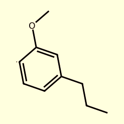 CCCc1cc[c]c(OC)c1